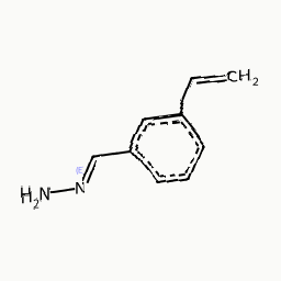 C=Cc1cccc(/C=N/N)c1